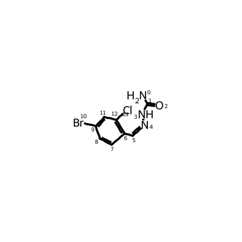 NC(=O)N/N=C\c1ccc(Br)cc1Cl